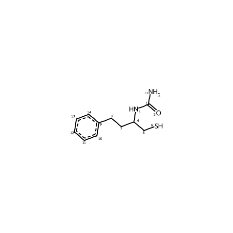 NC(=O)NC(CS)CCc1ccccc1